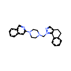 c1ccc2c(c1)CCc1cnn(CN3CCN(c4cc5ccccc5cn4)CC3)c1-2